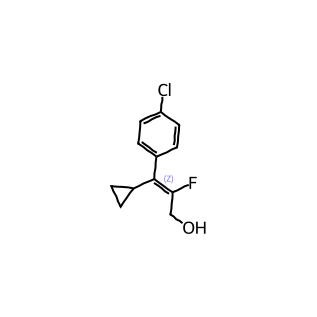 OC/C(F)=C(/c1ccc(Cl)cc1)C1CC1